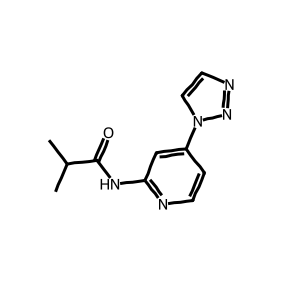 CC(C)C(=O)Nc1cc(-n2ccnn2)ccn1